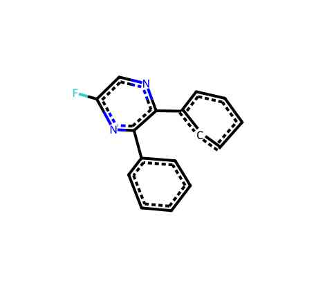 Fc1cnc(-c2ccccc2)c(-c2ccccc2)n1